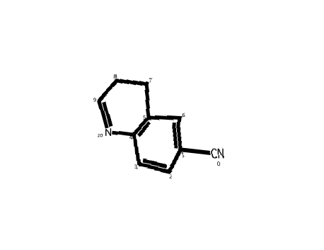 N#Cc1ccc2c(c1)CCC=N2